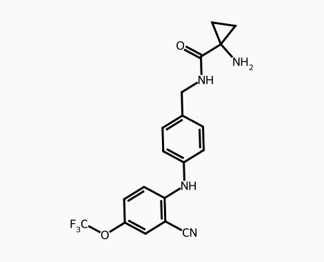 N#Cc1cc(OC(F)(F)F)ccc1Nc1ccc(CNC(=O)C2(N)CC2)cc1